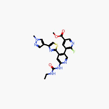 CCNC(=O)Nc1cc(-c2nc(-c3cnn(C)c3)cs2)c(-c2cc(C(=O)OC)cnc2F)cn1